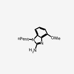 CCCCCn1c(N)nc2c(OC)cccc21